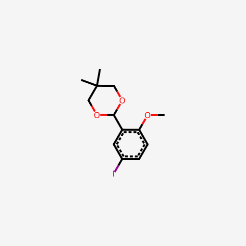 COc1ccc(I)cc1C1OCC(C)(C)CO1